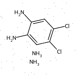 N.N.Nc1cc(Cl)c(Cl)cc1N